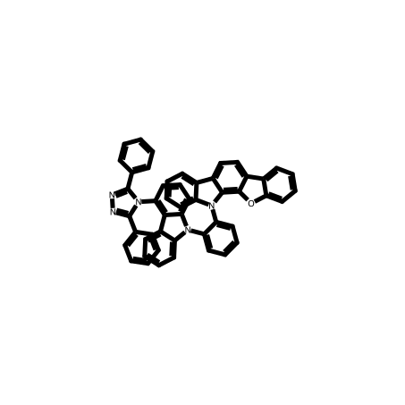 c1ccc(-c2nnc(-c3ccccc3)n2-c2cccc3c2c2ccccc2n3-c2ccccc2-n2c3ccccc3c3ccc4c5ccccc5oc4c32)cc1